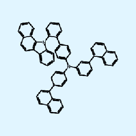 C1=CC(c2cccc3ccccc23)CC=C1N(c1ccc(-c2ccccc2-n2c3ccccc3c3ccc4ccccc4c32)cc1)c1cccc(-c2cccc3ccccc23)c1